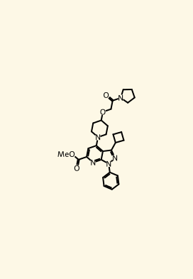 COC(=O)c1cc(N2CCC(OCC(=O)N3CCCC3)CC2)c2c(C3CCC3)nn(-c3ccccc3)c2n1